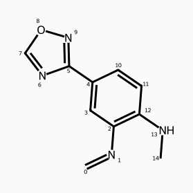 C=Nc1cc(-c2ncon2)ccc1NC